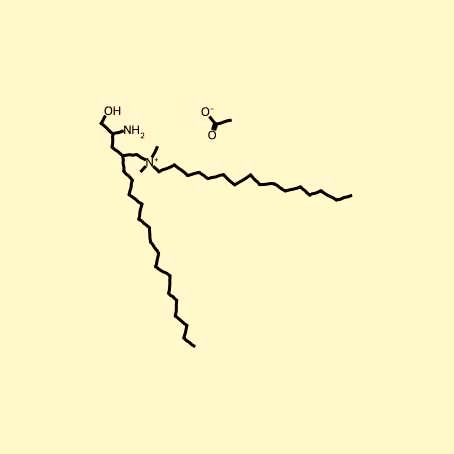 CC(=O)[O-].CCCCCCCCCCCCCCCCC(CC(N)CO)C[N+](C)(C)CCCCCCCCCCCCCCCC